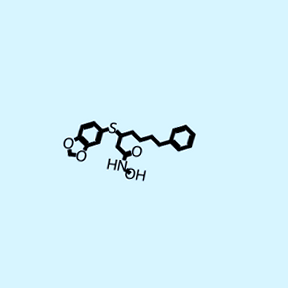 O=C(CC(CCCCc1ccccc1)Sc1ccc2c(c1)OCO2)NO